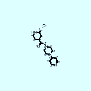 O=C=C1CC(C(=O)ON2CCN(c3ccncc3)CC2)CCN1